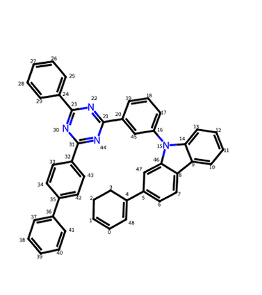 C1=CCCC(c2ccc3c4ccccc4n(-c4cccc(-c5nc(-c6ccccc6)nc(-c6ccc(-c7ccccc7)cc6)n5)c4)c3c2)=C1